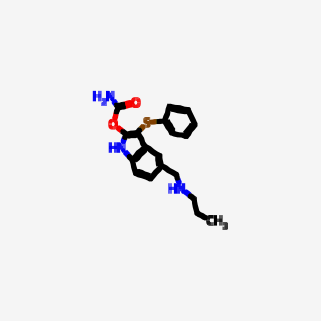 CCCNCc1ccc2[nH]c(OC(N)=O)c(Sc3ccccc3)c2c1